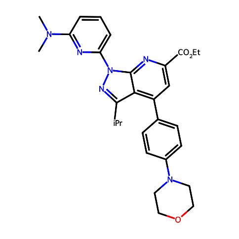 CCOC(=O)c1cc(-c2ccc(N3CCOCC3)cc2)c2c(C(C)C)nn(-c3cccc(N(C)C)n3)c2n1